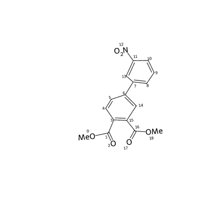 COC(=O)c1ccc(-c2cccc([N+](=O)[O-])c2)cc1C(=O)OC